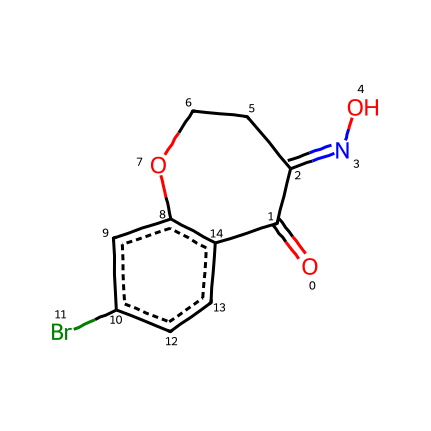 O=C1/C(=N/O)CCOc2cc(Br)ccc21